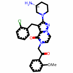 COc1ccccc1C(=O)Cn1ccn2nc(N3CCC[C@@H](N)C3)c(Cc3ccccc3Cl)c2c1=O